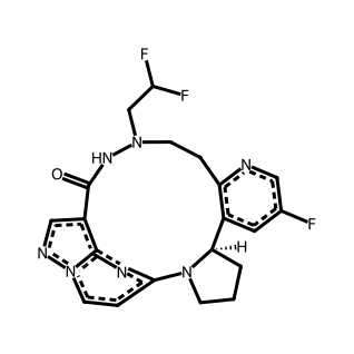 O=C1NN(CC(F)F)CCc2ncc(F)cc2[C@H]2CCCN2c2ccn3ncc1c3n2